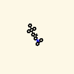 CC1(C)c2cc(-c3c4ccccc4c(-c4ccccc4)c4ccccc34)ccc2-c2ccc(-n3c4ccccc4c4ccccc43)cc21